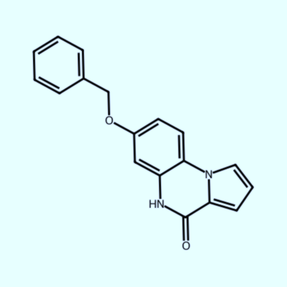 O=c1[nH]c2cc(OCc3ccccc3)ccc2n2cccc12